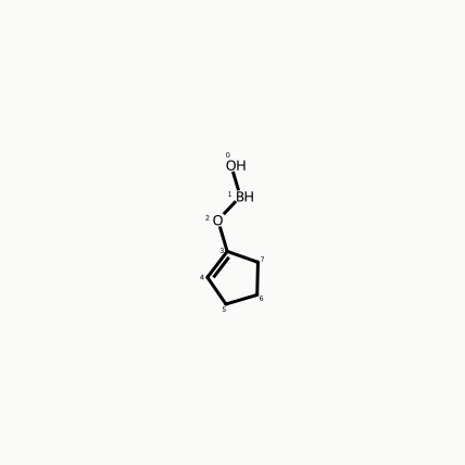 OBOC1=CCCC1